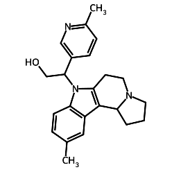 Cc1ccc2c(c1)c1c(n2C(CO)c2ccc(C)nc2)CCN2CCCC12